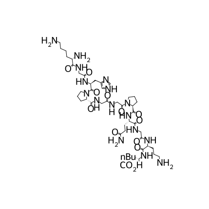 CCCC[C@H](NC(=O)[C@H](CCCN)NC(=O)CNC(=O)[C@H](CCC(N)=O)NC(=O)[C@@H]1CCCN1C(=O)CNC(=O)CNC(=O)[C@@H]1CCCN1C(=O)[C@H](Cc1c[nH]cn1)NC(=O)CNC(=O)[C@@H](N)CCCCN)C(=O)O